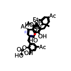 CCC1=CC(C(C)=O)=CC(C)(Cc2cc(C(C)=O)c(/C(=C\C(Cc3cc(C(C)=O)cc(C)c3OP(=O)(O)O)=C(/C)O)C(C)=O)c(C)c2O)C1OP(=O)(O)O